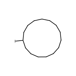 IC1CCCCCCCCCCCCCC1